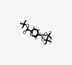 CC(C)(C)OC(=O)c1ccc(B2OC(C)(C)C(C)(C)O2)cn1